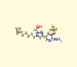 Nc1ncc(-c2cn(CCCCCC34CC(C3)C4)c(CO)n2)cc1OC(F)(F)F